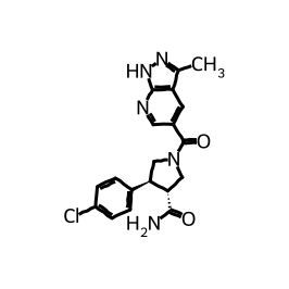 Cc1n[nH]c2ncc(C(=O)N3C[C@H](C(N)=O)[C@@H](c4ccc(Cl)cc4)C3)cc12